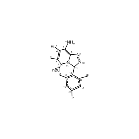 CCCCN1C(C)=C(CC)C(N)=C2N=NC(c3c(C)cc(C)cc3C)N21